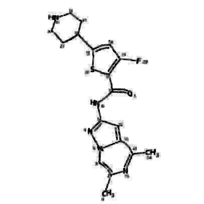 Cc1cn2nc(NC(=O)c3sc(C4CCNCC4)cc3F)cc2c(C)n1